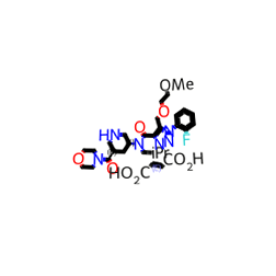 COCCOCc1c(C(=O)N(CC(C)C)[C@@H]2CNC[C@H](C(=O)N3CCOCC3)C2)nnn1-c1ccccc1F.O=C(O)/C=C/C(=O)O